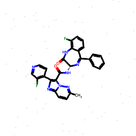 Cc1ccc2nc(-c3ccncc3F)c(C(=O)N[C@H]3N=C(c4ccccc4)c4cccc(F)c4NC3=O)n2n1